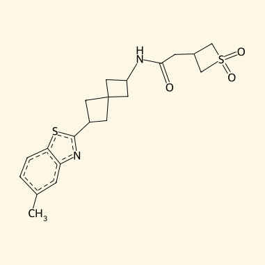 Cc1ccc2sc(C3CC4(CC(NC(=O)CC5CS(=O)(=O)C5)C4)C3)nc2c1